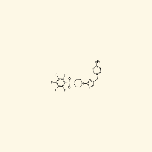 CCCc1ccc(Cc2csc(N3CCC(S(=O)(=O)c4c(F)c(F)c(F)c(F)c4F)CC3)n2)cc1